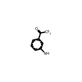 [NH]c1cccc(C(=O)C(F)(F)F)c1